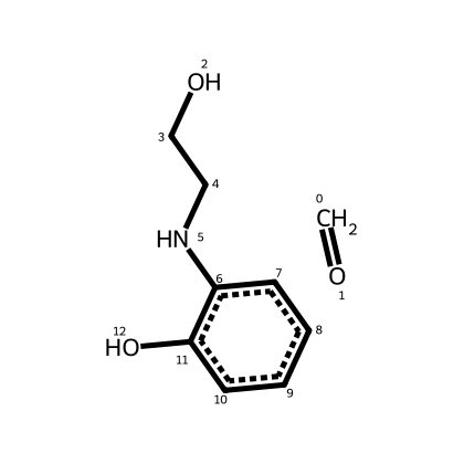 C=O.OCCNc1ccccc1O